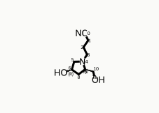 N#CCCCN1C[C@H](O)C[C@@H]1CO